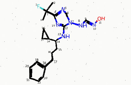 CC(C)(F)C1=NCN(NC=NO)C(NC(CCCc2ccccc2)C2CC2)=N1